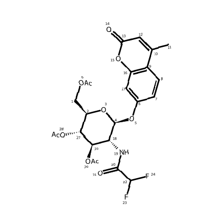 CC(=O)OC[C@H]1O[C@@H](Oc2ccc3c(C)cc(=O)oc3c2)[C@H](NC(=O)C(F)F)[C@@H](OC(C)=O)[C@@H]1OC(C)=O